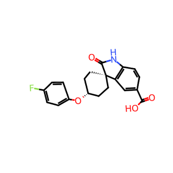 O=C(O)c1ccc2c(c1)[C@]1(CC[C@@H](Oc3ccc(F)cc3)CC1)C(=O)N2